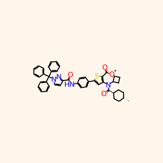 COC(=O)c1sc(-c2ccc(NC(=O)c3ccn(C(c4ccccc4)(c4ccccc4)c4ccccc4)n3)cc2)cc1N(C(=O)[C@H]1CC[C@H](C)CC1)C1CCC1